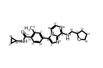 Cc1cc(-c2cnc3c(NCC4CCCO4)nccn23)ccc1C(=O)NC1CC1